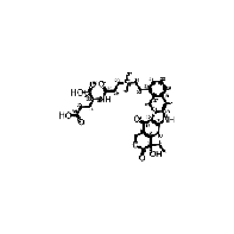 CCC1(O)C(=O)OCC2=C1CC1=C(C2=O)N2Cc3c(cccc3CC[Si](C)(C)CCC(=O)NC(CCC(=O)O)C(=O)O)C=C2N1